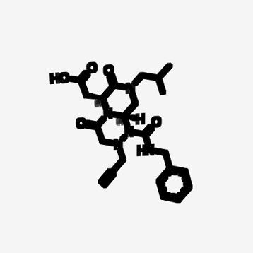 C#CCN1CC(=O)N2[C@@H](CC(=O)O)C(=O)N(CC(C)C)C[C@@H]2N1C(=O)NCc1ccccc1